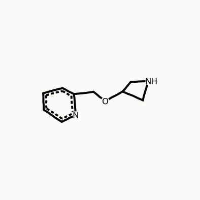 c1ccc(COC2CNC2)nc1